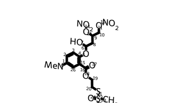 CNc1ccc(OC(O)CC(CO[N+](=O)[O-])O[N+](=O)[O-])c(C(=O)OCCSS(C)(=O)=O)c1